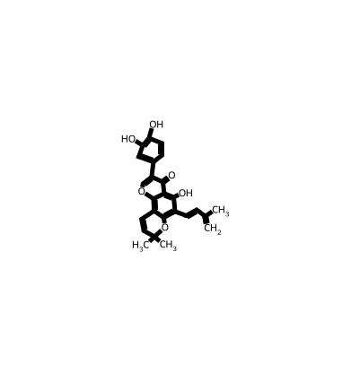 C=C(C)C=Cc1c2c(c3occ(-c4ccc(O)c(O)c4)c(=O)c3c1O)C=CC(C)(C)O2